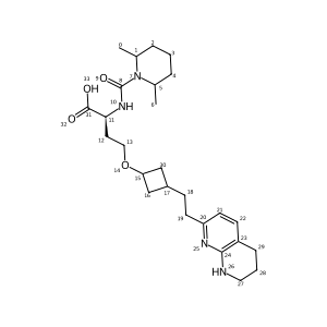 CC1CCCC(C)N1C(=O)N[C@@H](CCOC1CC(CCc2ccc3c(n2)NCCC3)C1)C(=O)O